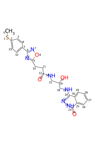 CSc1ccc(-c2noc(CCC(=O)NCC(O)CNc3n[nH]c(=O)c4ccccc34)n2)cc1